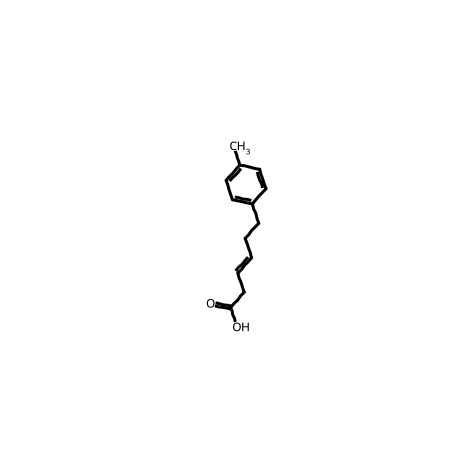 Cc1ccc(CCC=CCC(=O)O)cc1